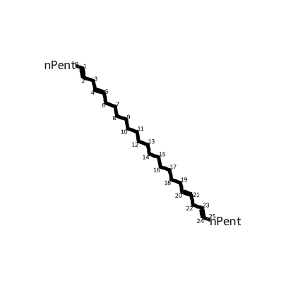 CCCCC/C=C/C/C=C/CCCCCCCCCCCCCC/C=C/C/C=C/CCCCC